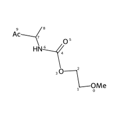 COCCOC(=O)NC(C)C(C)=O